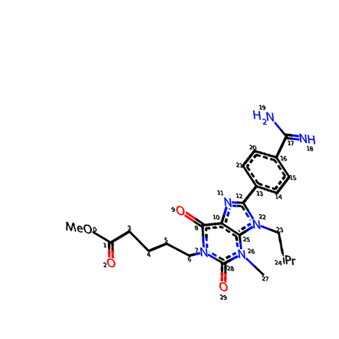 COC(=O)CCCCn1c(=O)c2nc(-c3ccc(C(=N)N)cc3)n(CC(C)C)c2n(C)c1=O